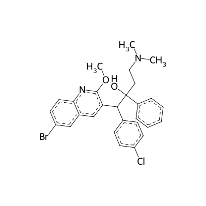 COc1nc2ccc(Br)cc2cc1C(c1ccc(Cl)cc1)C(O)(CCN(C)C)c1ccccc1